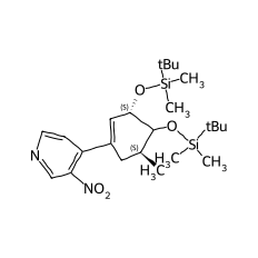 C[C@H]1CC(c2ccncc2[N+](=O)[O-])=C[C@H](O[Si](C)(C)C(C)(C)C)C1O[Si](C)(C)C(C)(C)C